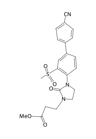 COC(=O)CCN1CCN(c2ccc(-c3ccc(C#N)cc3)cc2S(C)(=O)=O)C1=O